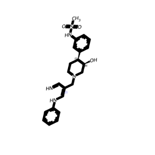 CS(=O)(=O)Nc1cccc([C@@H]2CCN(C/C(C=N)=C/Nc3ccccc3)C[C@@H]2O)c1